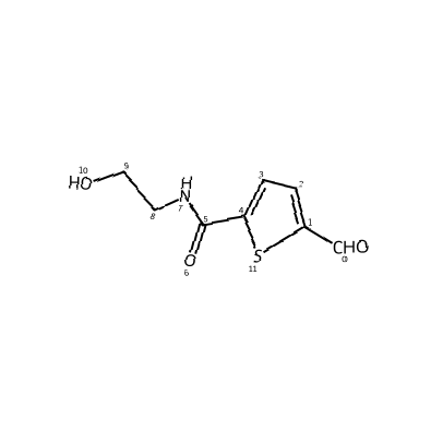 O=Cc1ccc(C(=O)NCCO)s1